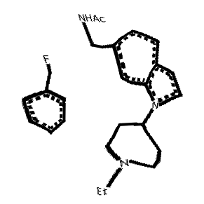 CCN1CCC(n2ccc3ccc(CNC(C)=O)cc32)CC1.Fc1ccccc1